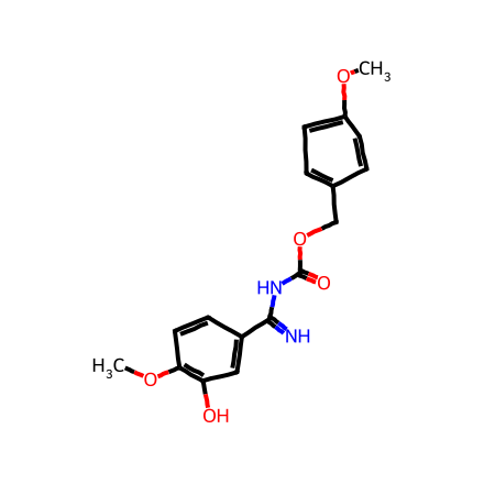 COc1ccc(COC(=O)NC(=N)c2ccc(OC)c(O)c2)cc1